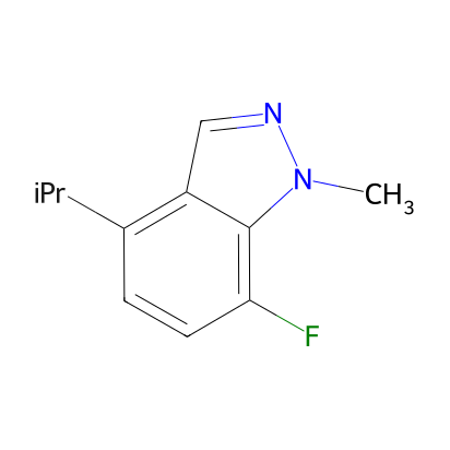 CC(C)c1ccc(F)c2c1cnn2C